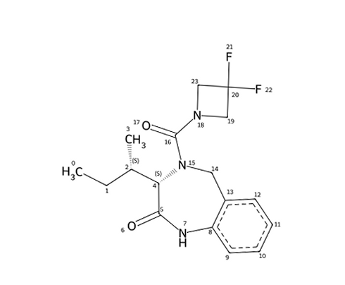 CC[C@H](C)[C@H]1C(=O)Nc2ccccc2CN1C(=O)N1CC(F)(F)C1